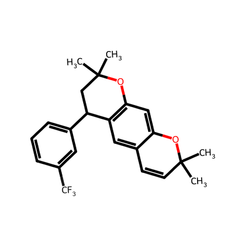 CC1(C)C=Cc2cc3c(cc2O1)OC(C)(C)CC3c1cccc(C(F)(F)F)c1